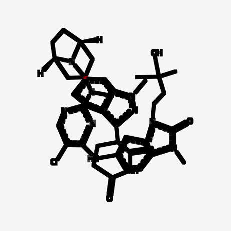 CN(c1ncc(Cl)c(Nc2ccc3c(c2)n(CCC(C)(C)O)c(=O)n3C)n1)C1C[C@H]2CC[C@@H](C1)N2c1ccc2c(C3CCC(=O)NC3=O)nn(C)c2c1